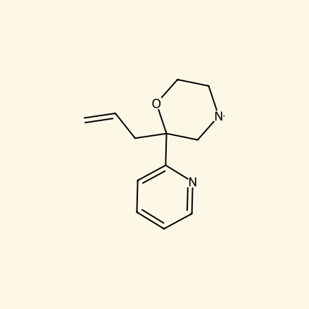 C=CCC1(c2ccccn2)C[N]CCO1